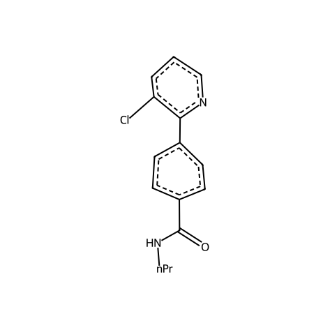 CCCNC(=O)c1ccc(-c2ncccc2Cl)cc1